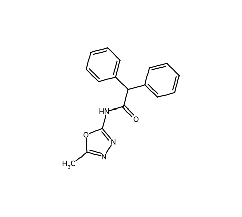 Cc1nnc(NC(=O)C(c2ccccc2)c2ccccc2)o1